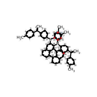 C=C(c1ccc(C)cc1)c1ccc(N(c2ccc(C)cc2)c2cc3cccc4c5cccc6cccc(c(c2N(c2ccc(C)cc2)c2ccc(C(=C)c7ccc(C)cc7)cc2)c34)c65)cc1